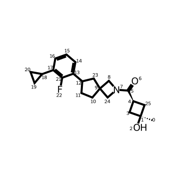 C[C@]1(O)C[C@@H](C(=O)N2CC3(CCC(c4cccc(C5CC5)c4F)C3)C2)C1